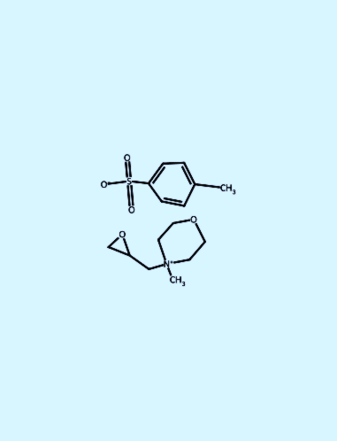 C[N+]1(CC2CO2)CCOCC1.Cc1ccc(S(=O)(=O)[O-])cc1